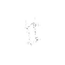 CC(C)NCCCCCOCC(=O)C(C)CCC(C)N(C)CCOCCOCC(=O)C(C)C